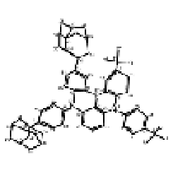 CC(C)(C)c1ccc(N2c3ccc(C(C)(C)C)cc3B3c4cc(C56CC7CC8CC(C5)C8(C7)C6)ccc4N(c4ccc(C56CC7CC(CC(C7)C5)C6)cc4)c4cccc2c43)cc1